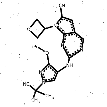 CC(C)Oc1nn(C(C)(C)C#N)cc1Nc1ncc2cc(C#N)n(C3COC3)c2n1